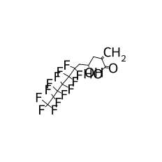 C=C(CC(O)CC(F)(F)C(F)(F)C(F)(F)C(F)(F)C(F)(F)C(F)(F)F)C(=O)O